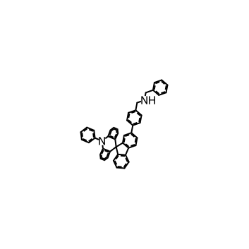 c1ccc(CNCc2ccc(-c3ccc4c(c3)C3(c5ccccc5-4)c4ccccc4N(c4ccccc4)c4ccccc43)cc2)cc1